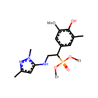 CCOP(=O)(OCC)C(CNc1cc(C)nn1C)c1cc(C)c(O)c(OC)c1